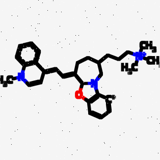 CN1C=CC(=CC=C2CCC(CCC[N+](C)(C)C)CN3C4=C(C=CC=[C+]4)OC23)c2ccccc21